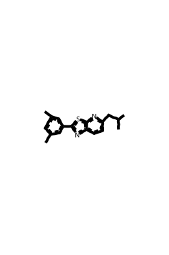 Cc1cc(C)cc(-c2nc3ccc(CC(C)C)nc3s2)c1